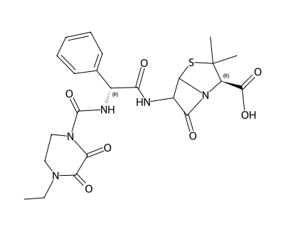 CCN1CCN(C(=O)N[C@@H](C(=O)NC2C(=O)N3C2SC(C)(C)[C@H]3C(=O)O)c2ccccc2)C(=O)C1=O